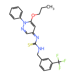 CCCOc1cc(=NC(=S)NCc2cccc(C(F)(F)F)c2)cnn1-c1ccccc1